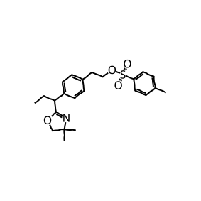 CCC(C1=NC(C)(C)CO1)c1ccc(CCOS(=O)(=O)c2ccc(C)cc2)cc1